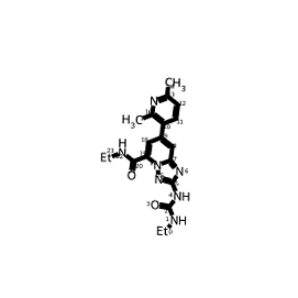 CCNC(=O)Nc1nc2cc(-c3ccc(C)nc3C)cc(C(=O)NCC)n2n1